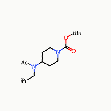 CC(=O)N(CC(C)C)C1CCN(C(=O)OC(C)(C)C)CC1